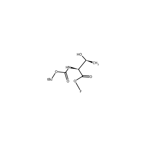 C[C@H](O)[C@H](NC(=O)OC(C)(C)C)C(=O)OF